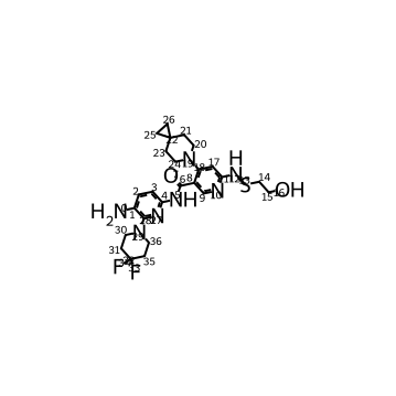 Nc1ccc(NC(=O)c2cnc(NSCCO)cc2N2CCC3(CC2)CC3)nc1N1CCC(F)(F)CC1